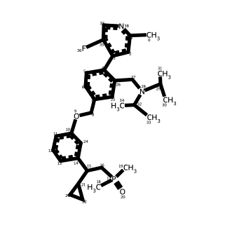 Cc1cc(-c2ccc(COc3cccc(C(CP(C)(C)=O)C4CC4)c3)cc2CN(C(C)C)C(C)C)c(F)cn1